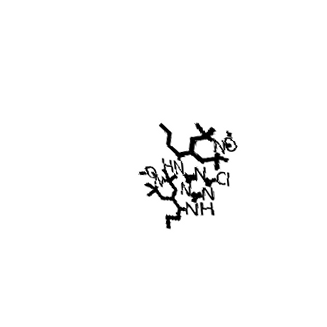 CCCC(Nc1nc(Cl)nc(NC(CCC)C2CC(C)(C)N(OC)C(C)(C)C2)n1)C1CC(C)(C)N(OC)C(C)(C)C1